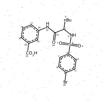 CCCCC(NS(=O)(=O)c1ccc(Br)cc1)C(=O)Nc1cccc(C(=O)O)c1